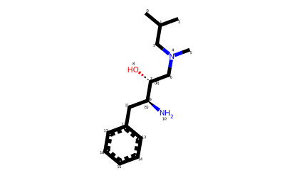 CC(C)CN(C)C[C@@H](O)[C@@H](N)Cc1ccccc1